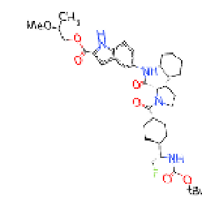 CO[C@@H](C)COC(=O)c1cc2cc(NC(=O)[C@@H]3[C@H](C4CCCCC4)CCN3C(=O)[C@H]3CC[C@H]([C@@H](CF)NC(=O)OC(C)(C)C)CC3)ccc2[nH]1